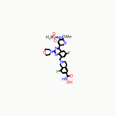 COc1ncc(-c2nc(N3CCOCC3)nc3c(CN4CCc5cc(C(=O)NO)cc(F)c5C4)cc(F)cc23)cc1NS(C)(=O)=O